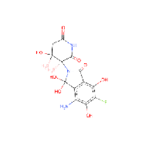 BC1(O)CC(=O)NC(=O)[C@@]1(B)N1C(=O)c2c(O)c(F)c(O)c(N)c2C1(O)O